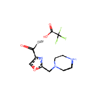 COC(=O)c1coc(CN2CCNCC2)n1.O=C(O)C(F)(F)F